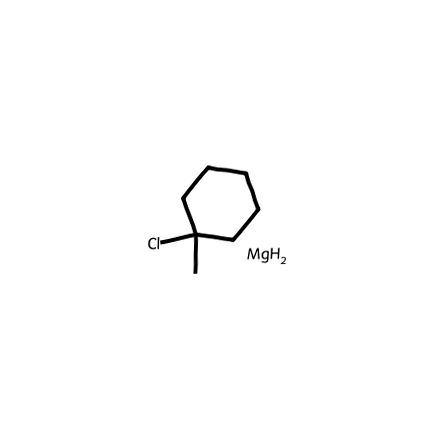 CC1(Cl)CCCCC1.[MgH2]